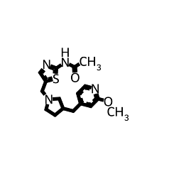 COc1cc(CC2CCN(Cc3cnc(NC(C)=O)s3)C2)ccn1